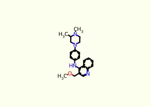 COCc1cnc2ccccc2c1Nc1ccc(N2CCN(C)C(C)C2)cc1